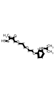 CC(C)Nc1cccc(OCCOCCCOCC(=O)C(C)SS)c1